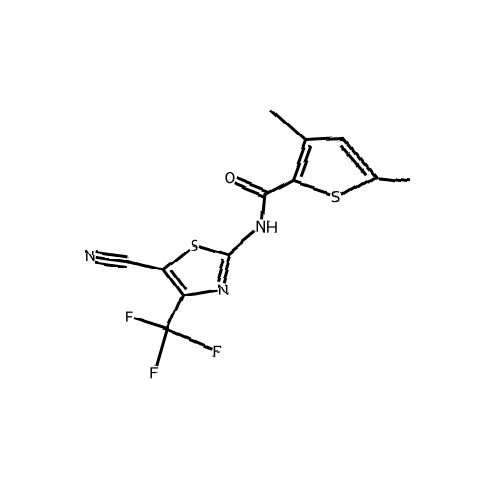 Cc1cc(C)c(C(=O)Nc2nc(C(F)(F)F)c(C#N)s2)s1